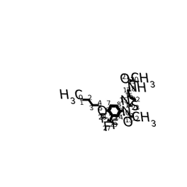 CCCCCOc1ccc(N(C(C)=O)c2nc(CNC(C)=O)cs2)cc1C(F)(F)F